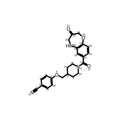 N#Cc1ccc(OCC2CCN(C(=O)c3ccc4c(c3)NCC(=O)CO4)CC2)cc1